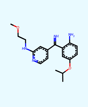 COCCNc1cc(C(=N)c2cc(OC(C)C)ccc2N)ccn1